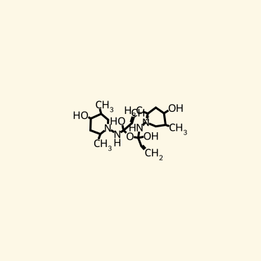 C=CC(O)(NN1CC(C)C(O)CC1C)OC(O)(C=C)NN1CC(C)C(O)CC1C